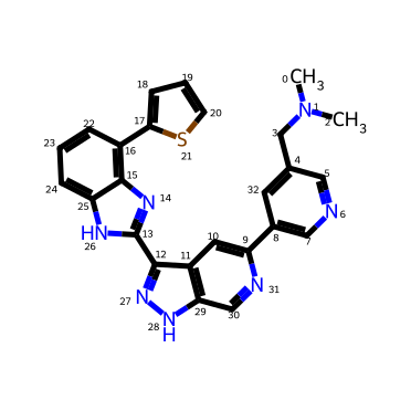 CN(C)Cc1cncc(-c2cc3c(-c4nc5c(-c6cccs6)cccc5[nH]4)n[nH]c3cn2)c1